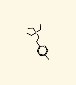 CC[Si](CC)(CC)CCc1ccc(F)cc1